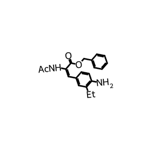 CCc1cc(C=C(NC(C)=O)C(=O)OCc2ccccc2)ccc1N